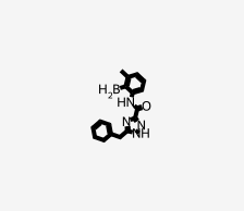 Bc1c(C)cccc1NC(=O)c1n[nH]c(CC2=CC=CCC2)n1